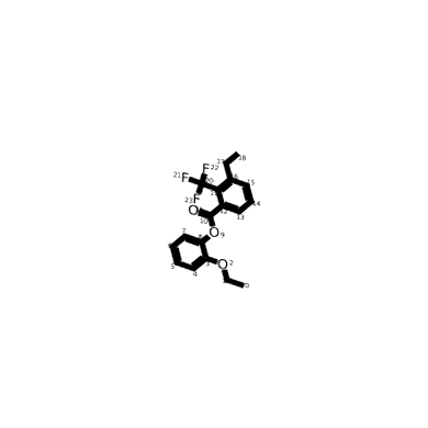 CCOc1ccccc1OC(=O)c1cccc(CC)c1C(F)(F)F